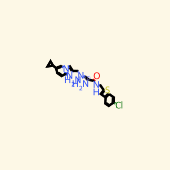 N/C(=C\N(N)Cc1cn2cc(C3CC3)ccc2n1)C(=O)NCc1cc2ccc(Cl)cc2s1